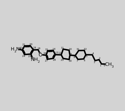 CCCCCC1CCC(C2CCC(c3ccc(OCc4ccc(N)cc4N)cc3)CC2)CC1